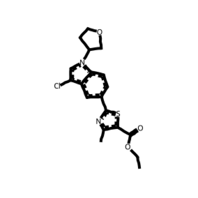 CCOC(=O)c1sc(-c2ccc3c(c2)c(Cl)cn3C2CCOC2)nc1C